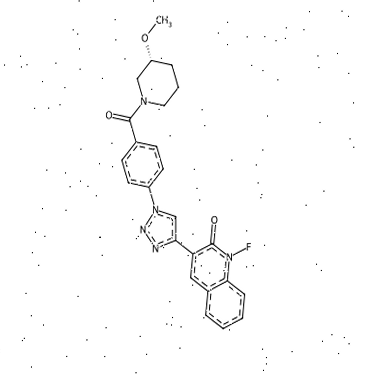 CO[C@@H]1CCCN(C(=O)c2ccc(-n3cc(-c4cc5ccccc5n(F)c4=O)nn3)cc2)C1